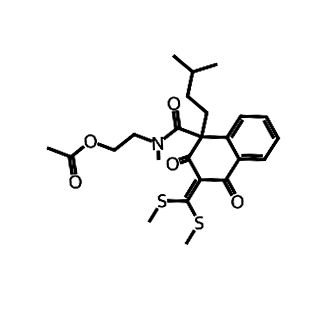 CSC(SC)=C1C(=O)c2ccccc2C(CCC(C)C)(C(=O)N(C)CCOC(C)=O)C1=O